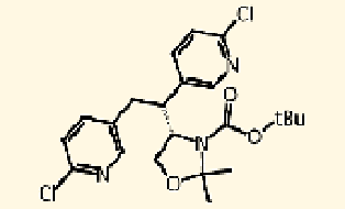 CC(C)(C)OC(=O)N1[C@@H](C(Cc2ccc(Cl)nc2)c2ccc(Cl)nc2)COC1(C)C